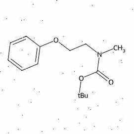 CN(CCOc1ccccc1)C(=O)OC(C)(C)C